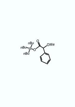 CCC[CH2][Sn]([CH2]CCC)([CH2]CCC)[O]C(=O)C(OC)c1ccccc1